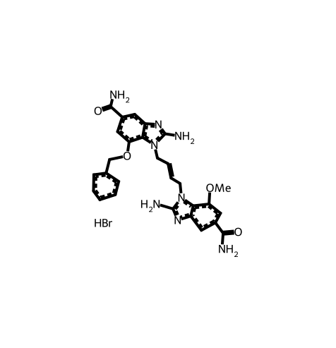 Br.COc1cc(C(N)=O)cc2nc(N)n(CC=CCn3c(N)nc4cc(C(N)=O)cc(OCc5ccccc5)c43)c12